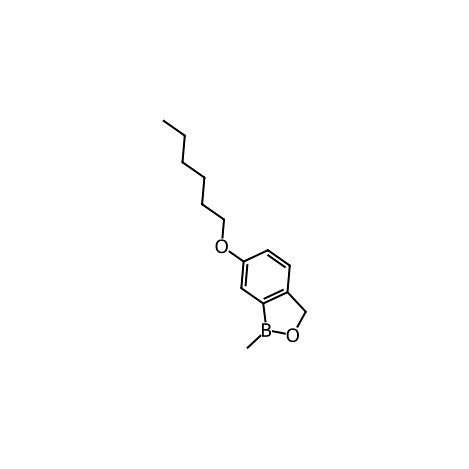 CCCCCCOc1ccc2c(c1)B(C)OC2